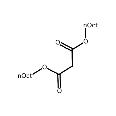 CCCCCCCCOC(=O)CC(=O)OCCCCCCCC